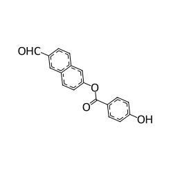 O=Cc1ccc2cc(OC(=O)c3ccc(O)cc3)ccc2c1